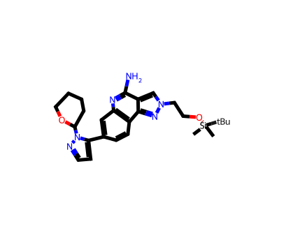 CC(C)(C)[Si](C)(C)OCCn1cc2c(N)nc3cc(-c4ccnn4C4CCCCO4)ccc3c2n1